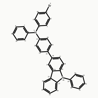 Brc1ccc(N(c2ccccc2)c2ccc(-c3ccc4c(c3)c3ccccc3n4-c3ccccc3)cc2)cc1